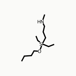 CCCCO[Si](CC)(CC)CCCNC